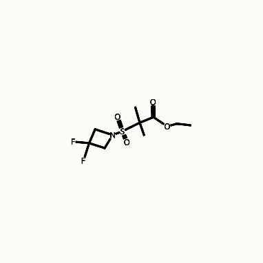 CCOC(=O)C(C)(C)S(=O)(=O)N1CC(F)(F)C1